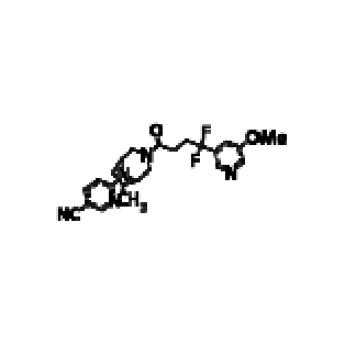 COc1cncc(C(F)(F)CCC(=O)N2CC3C[C@H](C)C(C2)N3c2ccc(C#N)cn2)c1